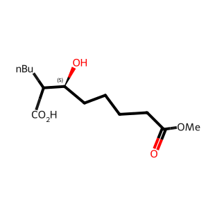 CCCCC(C(=O)O)[C@@H](O)CCCCC(=O)OC